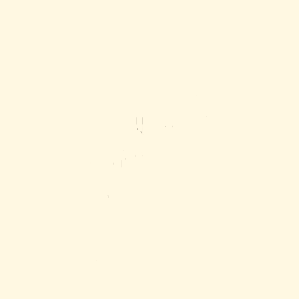 C=Cc1cccc(COS(=O)(=O)NS(=O)(=O)CC(OC(=O)C2CCCCC2)(C(F)(F)F)C(F)(F)F)c1